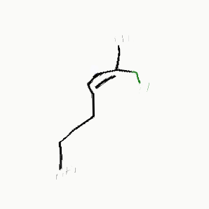 CCCCC/C=C(/C)Cl